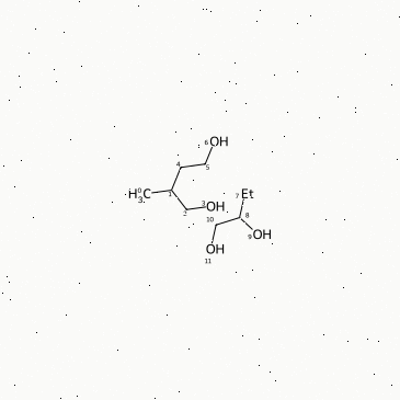 CC(CO)CCO.CCC(O)CO